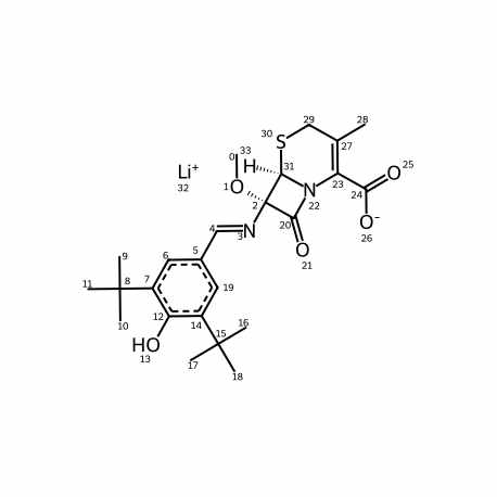 CO[C@@]1(/N=C/c2cc(C(C)(C)C)c(O)c(C(C)(C)C)c2)C(=O)N2C(C(=O)[O-])=C(C)CS[C@@H]21.[Li+]